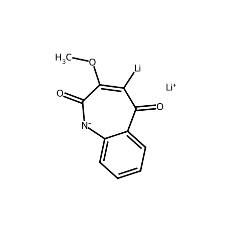 [Li+].[Li][c]1c(OC)c(=O)[n-]c2ccccc2c1=O